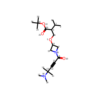 CC(C)C(COC1CN(C(=O)C#CC(C)(C)N(C)C)C1)C(=O)OC(C)(C)C